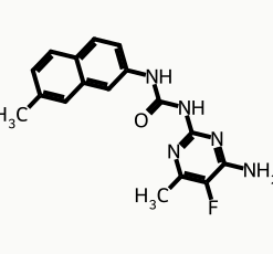 Cc1ccc2ccc(NC(=O)Nc3nc(C)c(F)c(N)n3)cc2c1